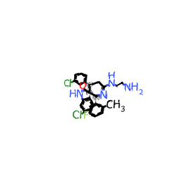 Cc1ccc(F)cc1[C@H]1N=C(NCCN)C[C@@H](c2cccc(Cl)c2)[C@]12C(=O)Nc1cc(Cl)ccc12